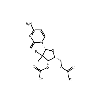 C=C1N=C(N)C=CN1[C@@H]1O[C@H](COC(=O)C(C)C)[C@H](OC(=O)C(C)C)C1(C)F